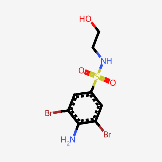 Nc1c(Br)cc(S(=O)(=O)NCCO)cc1Br